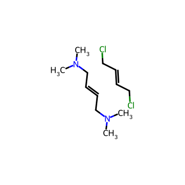 CN(C)CC=CCN(C)C.ClCC=CCCl